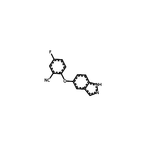 N#Cc1cc(F)ccc1Oc1ccc2[nH]ncc2c1